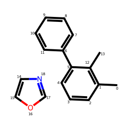 Cc1cccc(-c2ccccc2)c1C.c1cocn1